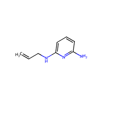 C=CCNc1cccc(N)n1